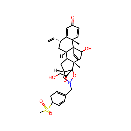 C=C[C@H]1C[C@H]2C3C[C@H]4CN(CC5=CCC(S(C)(=O)=O)C=C5)O[C@@]4(C(=O)CO)[C@@]3(C)C[C@H](O)[C@]2(C=C)[C@@]2(C)C=CC(=O)C=C12